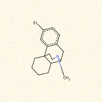 CCc1ccc2c(c1)C13CCCCC1C(C2)N(C)CC3